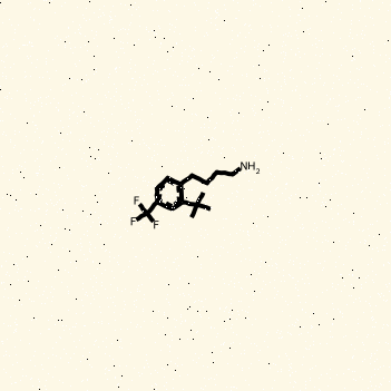 CC(C)(C)c1cc(C(F)(F)F)ccc1CCCCN